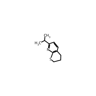 CC(C)c1ccc2c(n1)SCCC2